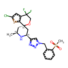 C[C@H]1C[C@@]2(C[C@@H](c3cn(Cc4ccccc4S(C)(=O)=O)nn3)N1)OCC(F)(F)c1cc(Cl)sc12